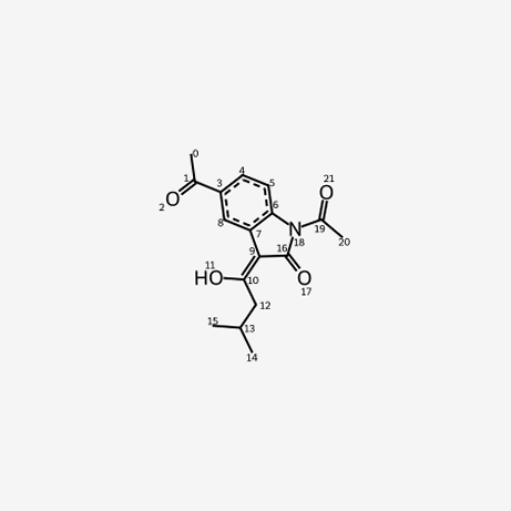 CC(=O)c1ccc2c(c1)C(=C(O)CC(C)C)C(=O)N2C(C)=O